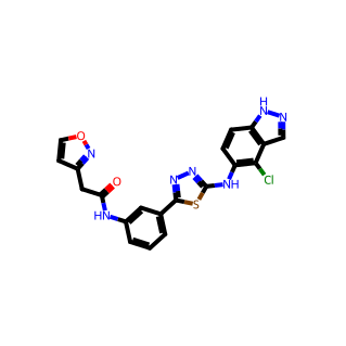 O=C(Cc1ccon1)Nc1cccc(-c2nnc(Nc3ccc4[nH]ncc4c3Cl)s2)c1